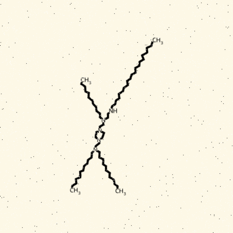 CCCCCCCCCCCCCCCCCCCCCCNCCN(CCCCCCCCCCCC)CCN1CCN(CCN(CCCCCCCCCCCC)CCCCCCCCCCCC)CC1